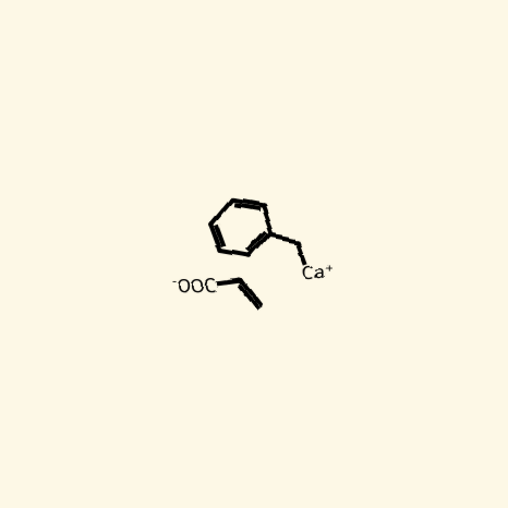 C=CC(=O)[O-].[Ca+][CH2]c1ccccc1